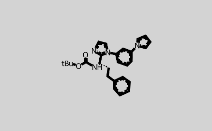 CC(C)(C)OC(=O)N[C@@H](CCc1ccccc1)c1nccn1-c1cccc(-n2cccc2)c1